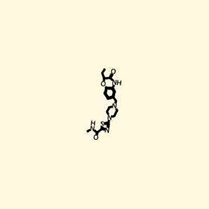 CCC1Oc2ccc(CN3CCN(c4cnc(C(=O)NC)s4)CC3)cc2NC1=O